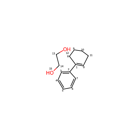 C1=C(c2ccccc2)CCCC1.OCCO